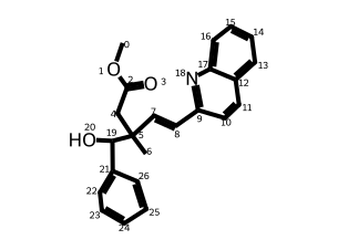 COC(=O)CC(C)(C=Cc1ccc2ccccc2n1)C(O)c1ccccc1